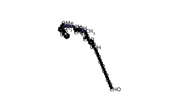 COC(CC1CCCC(C(=O)C(=O)N2CCCCC2)O1)/C(C)=C/C=C/C=C/C(C)CC(C)C(=O)CC(O)/C(C)=C/C(C)CCC(CCC1CCC(OC(=O)NCCOCCOCCOCCOCCOCCOCCOCCOCCC=O)CC1)OC=O